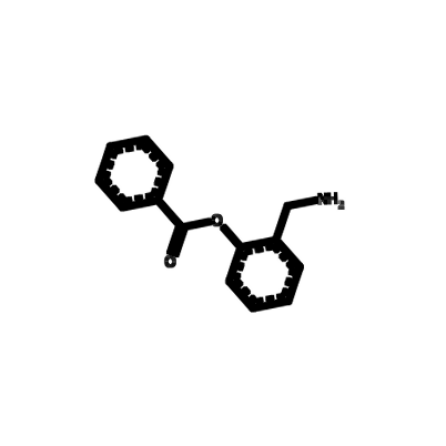 NCc1ccccc1OC(=O)c1ccccc1